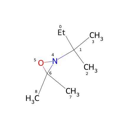 CCC(C)(C)N1OC1(C)C